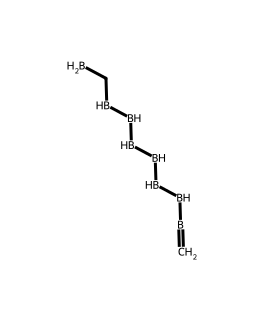 BCBBBBBBB=C